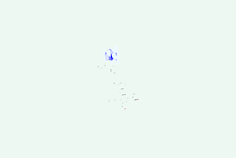 CC1(C)c2cc(-c3ccc(-c4nc5ncccn5c4-c4ccccc4)cc3)ccc2-c2cc3c(-c4ccccc4)c4ccccc4c(-c4ccccc4)c3cc21